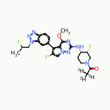 [2H]C([2H])([2H])C(=O)N1CC[C@H](Nc2nc(OC)c3c(-c4ccc5nnn(C[C@@H](C)F)c5c4)c(F)cn3n2)[C@H](F)C1